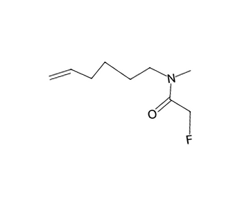 C=CCCCCN(C)C(=O)CF